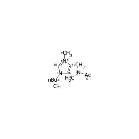 CC(=O)N(C)C.CCCCn1cc[n+](C)c1.[Cl-]